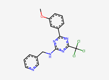 COc1cccc(-c2nc(NCc3cccnc3)nc(C(Cl)(Cl)Cl)n2)c1